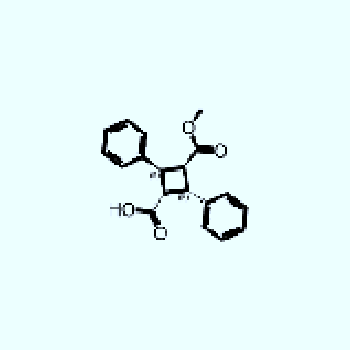 COC(=O)[C@H]1[C@H](c2ccccc2)[C@H](C(=O)O)[C@H]1c1ccccc1